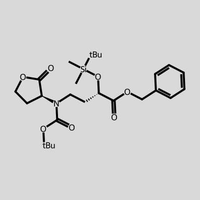 CC(C)(C)OC(=O)N(CC[C@H](O[Si](C)(C)C(C)(C)C)C(=O)OCc1ccccc1)[C@H]1CCOC1=O